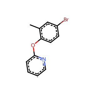 Cc1cc(Br)ccc1Oc1cc[c]cn1